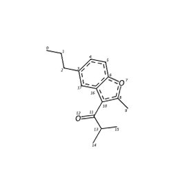 CCCc1ccc2oc(C)c(C(=O)C(C)C)c2c1